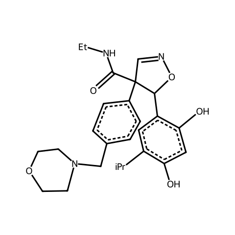 CCNC(=O)C1(c2ccc(CN3CCOCC3)cc2)C=NOC1c1cc(C(C)C)c(O)cc1O